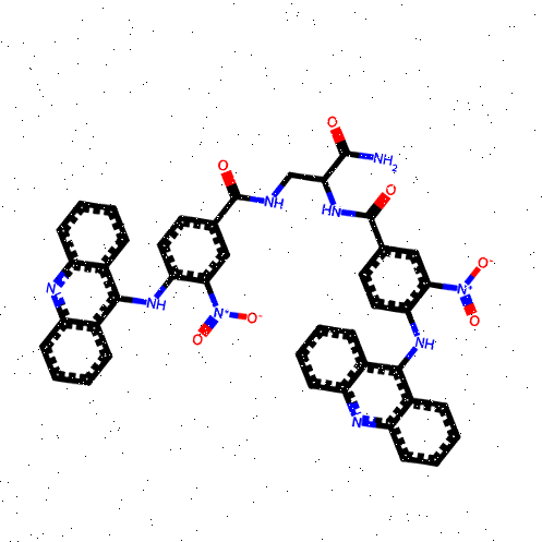 NC(=O)C(CNC(=O)c1ccc(Nc2c3ccccc3nc3ccccc23)c([N+](=O)[O-])c1)NC(=O)c1ccc(Nc2c3ccccc3nc3ccccc23)c([N+](=O)[O-])c1